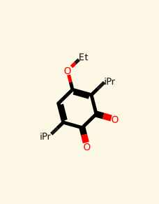 CCOC1=C(C(C)C)C(=O)C(=O)C(C(C)C)=C1